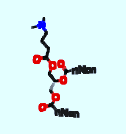 CCCCCCCCCC(=O)OC[C@H](COC(=O)CCCN(C)C)OC(=O)CCCCCCCCC